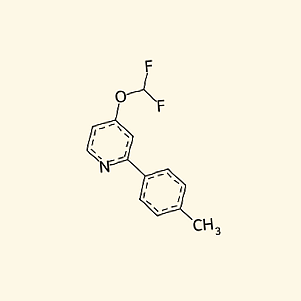 Cc1ccc(-c2cc(OC(F)F)ccn2)cc1